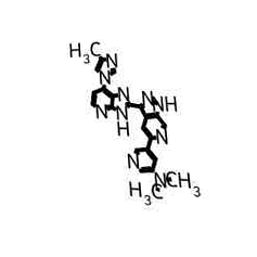 Cc1cn(-c2ccnc3[nH]c(-c4n[nH]c5cnc(-c6cncc(N(C)C)c6)cc45)nc23)cn1